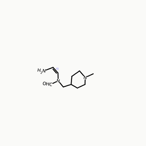 CN1CCC(CN(C=O)/C=C\N)CC1